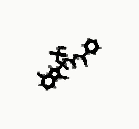 CNS(=O)(=O)C[C@](C)(NC(=S)NC(=O)c1ccccc1)c1sc2c(C)cccc2c1F